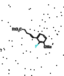 CCOC(=O)CCC=Cc1cccc(OC)c1F